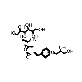 C1CO1.C=CC#N.C=Cc1ccccc1.CC1CO1.OCC(O)C(O)C(O)C(O)CO.OCC(O)CO